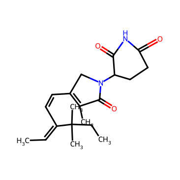 C/C=C(\C=C/C1=C(C)C(=O)N(C2CCC(=O)NC2=O)C1)C(C)(C)CC